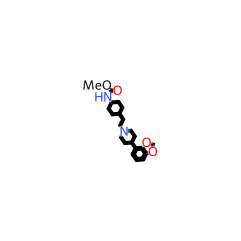 COC(=O)NC1CCC(CCN2CCC(c3cccc4c3OCO4)CC2)CC1